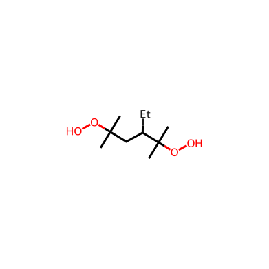 CCC(CC(C)(C)OO)C(C)(C)OO